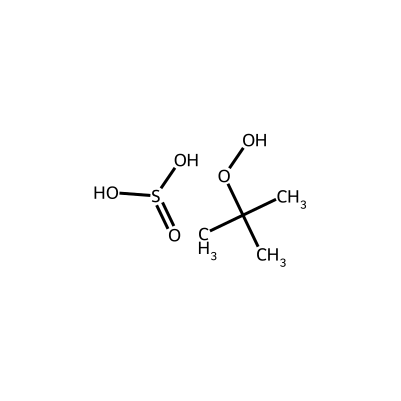 CC(C)(C)OO.O=S(O)O